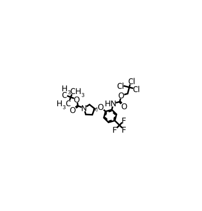 CC(C)(C)OC(=O)N1CC[C@@H](Oc2ccc(C(F)(F)F)cc2NC(=O)OCC(Cl)(Cl)Cl)C1